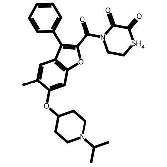 Cc1cc2c(-c3ccccc3)c(C(=O)N3CC[SH4]C(=O)C3=O)oc2cc1OC1CCN(C(C)C)CC1